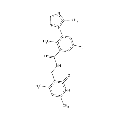 Cc1cc(C)c(CNC(=O)c2cc(Cl)cc(-n3ncnc3C)c2C)c(=O)[nH]1